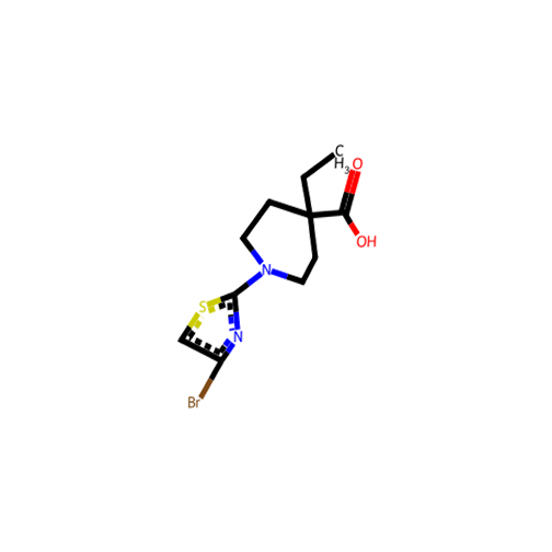 CCC1(C(=O)O)CCN(c2nc(Br)cs2)CC1